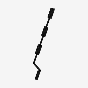 [C]#CC#CC#CCC=C